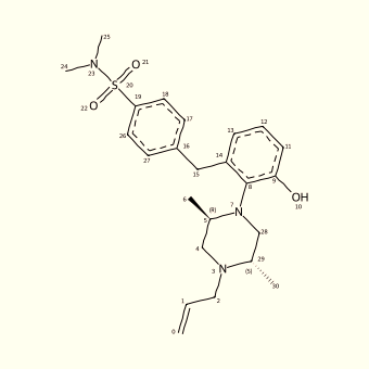 C=CCN1C[C@@H](C)N(c2c(O)cccc2Cc2ccc(S(=O)(=O)N(C)C)cc2)C[C@@H]1C